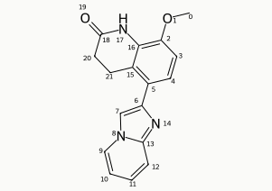 COc1ccc(-c2cn3ccccc3n2)c2c1NC(=O)CC2